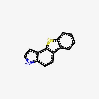 c1ccc2c(c1)sc1c3cc[nH]c3ccc21